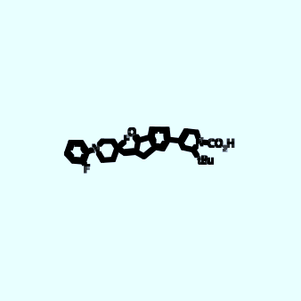 CC(C)(C)C1CC(c2ccc3c(c2)CC(=CC2(F)CCN(c4ccccc4F)CC2)C3=O)=CCN1C(=O)O